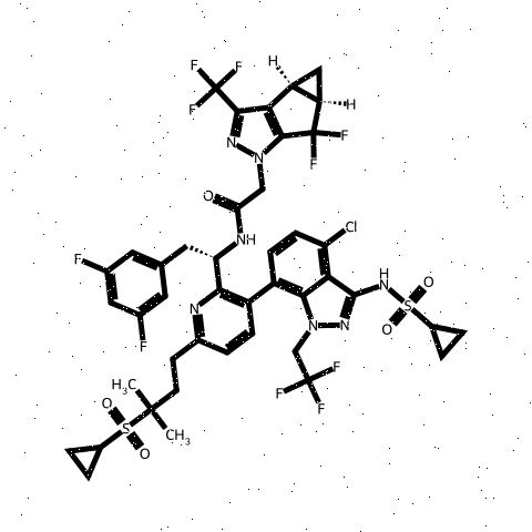 CC(C)(CCc1ccc(-c2ccc(Cl)c3c(NS(=O)(=O)C4CC4)nn(CC(F)(F)F)c23)c([C@H](Cc2cc(F)cc(F)c2)NC(=O)Cn2nc(C(F)(F)F)c3c2C(F)(F)[C@@H]2C[C@H]32)n1)S(=O)(=O)C1CC1